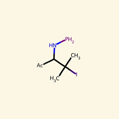 CC(=O)C(NP)C(C)(C)I